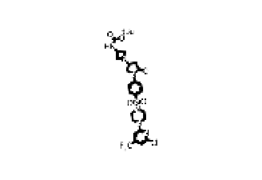 CC(C)(C)OC(=O)NC1CN(C2CC(=O)N(c3ccc(S(=O)(=O)N4CCN(c5cc(C(F)(F)F)cc(Cl)n5)CC4)cc3)C2)C1